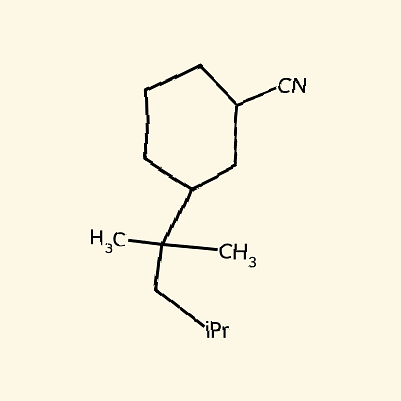 CC(C)CC(C)(C)C1CCCC(C#N)C1